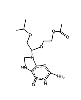 CC(=O)OCCOC(COC(C)C)N1CNc2c1nc(N)[nH]c2=O